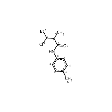 CCC(Cl)C(C)C(=O)Nc1ccc(C)cc1